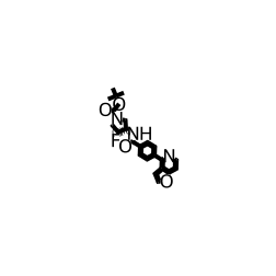 CC(C)(C)OC(=O)N1C[C@H](F)[C@H](NC(=O)c2ccc(-c3nccc4occc34)cc2)C1